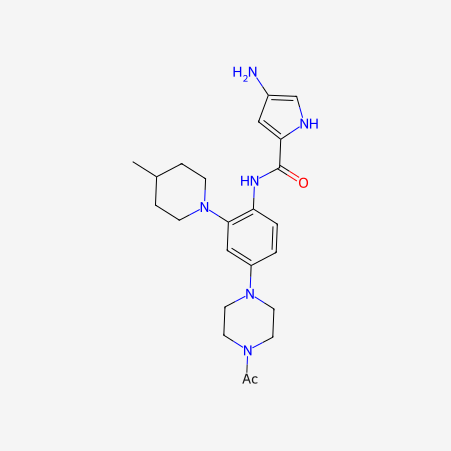 CC(=O)N1CCN(c2ccc(NC(=O)c3cc(N)c[nH]3)c(N3CCC(C)CC3)c2)CC1